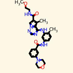 COCCNC(=O)c1cn2ncnc(Nc3cc(NC(=O)c4cccc(N5CCOCC5)c4)ccc3C)c2c1C